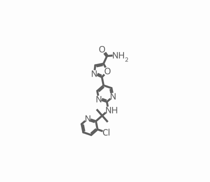 CC(C)(Nc1ncc(-c2ncc(C(N)=O)o2)cn1)c1ncccc1Cl